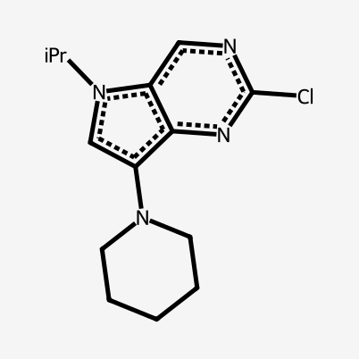 CC(C)n1cc(N2CCCCC2)c2nc(Cl)ncc21